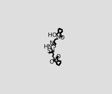 O=C1c2ccccc2C(=O)N1CCc1csc(Nc2nc(CCN3C(=O)c4ccccc4C3O)cs2)n1